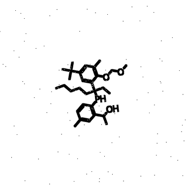 CCCCCC(CC)(Pc1ccc(C)cc1C(C)O)c1cc(C(C)(C)C)cc(C)c1OCOC